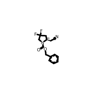 N#CC[C@@H]1CC(F)(F)CN1C(=O)OCc1ccccc1